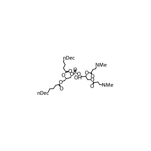 CCCCCCCCCCCCCC(=O)OC[C@H](COP(=O)(O)OCC(COC(=O)CCNC)OC(=O)CCNC)OC(=O)CCCCCCCCCCCCC